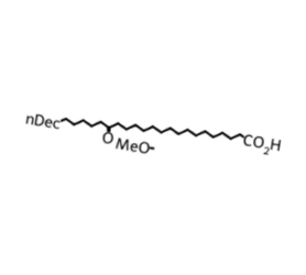 CCCCCCCCCCCCCCCC(=O)CCCCCCCCCCCCCCCC(=O)O.COC